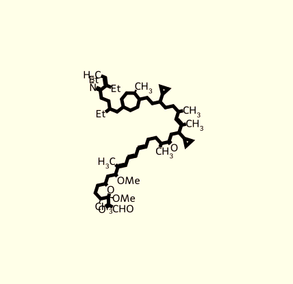 C/C=C(CC)\C(CCC(CC)CC1CCC(CCC(CCC(C)/C=C(\C)C(CC(=O)C(C)CC/C=C/C=C/C=C(\C)C(CC2CC[C@@H](C)[C@](OC)(C(=O)C=O)O2)OC)C2CC2)C2CC2)[C@H](C)CC1)=N/CC